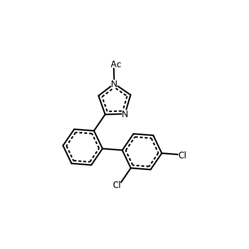 CC(=O)n1cnc(-c2ccccc2-c2ccc(Cl)cc2Cl)c1